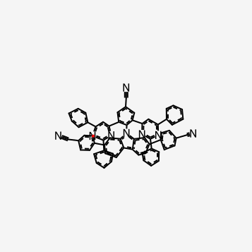 N#Cc1ccc(-c2ccc3c4ccc(-c5ccc(C#N)cc5)cc4n(-c4c(-c5cc(-c6ccccc6)nc(-c6ccccc6)n5)cc(C#N)cc4-c4cc(-c5ccccc5)nc(-c5ccccc5)n4)c3c2)cc1